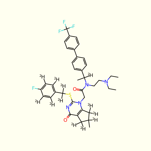 [2H]c1c([2H])c(C([2H])([2H])Sc2nc(=O)c3c(n2CC(=O)N(CCN(CC)CC)C([2H])(C)c2ccc(-c4ccc(C(F)(F)F)cc4)cc2)C([2H])([2H])C([2H])(C)C3([2H])[2H])c([2H])c([2H])c1F